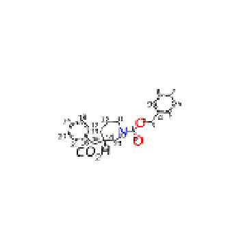 O=C(OCc1ccccc1)N1CCC[C@](Cc2ccccc2)(C(=O)O)C1